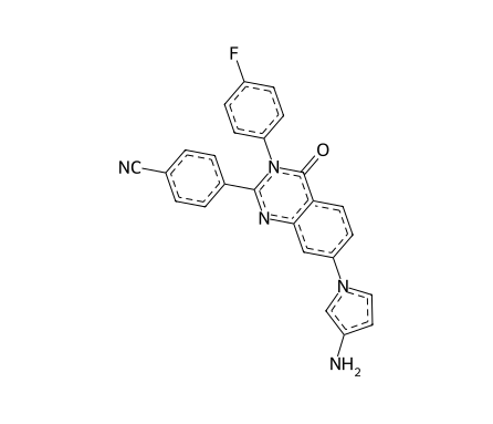 N#Cc1ccc(-c2nc3cc(-n4ccc(N)c4)ccc3c(=O)n2-c2ccc(F)cc2)cc1